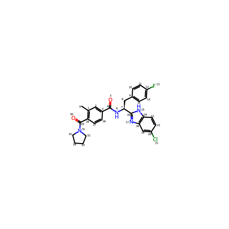 Cc1cc(C(=O)N[C@@H](Cc2ccc(F)cc2)c2nc3cc(Cl)ccc3[nH]2)ccc1C(=O)N1CCCC1